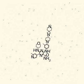 Cc1cc(-c2nc(C(N)=O)c(Nc3ccc(N4CCC(N5CC6(CCN(C)CC6)C5)CC4)c(C)c3)nc2NC2CCOCC2)ccn1